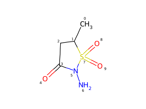 CC1CC(=O)N(N)S1(=O)=O